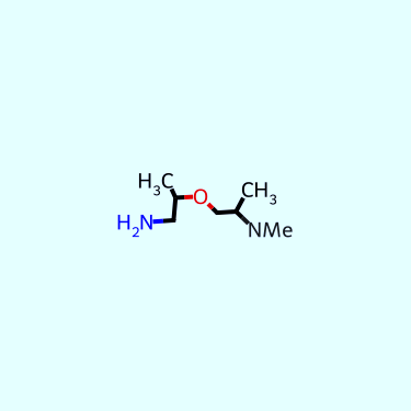 CNC(C)COC(C)CN